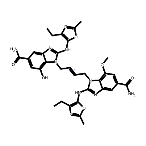 CCc1nc(C)oc1Nc1nc2cc(C(N)=O)cc(O)c2n1C/C=C/Cn1c(Nc2oc(C)nc2CC)nc2cc(C(N)=O)cc(OC)c21